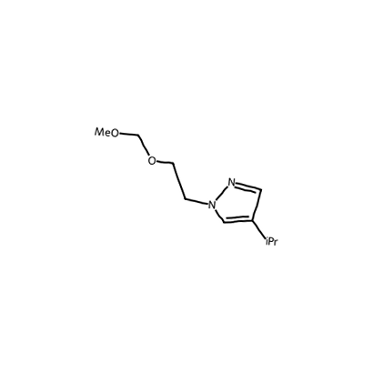 COCOCCn1cc(C(C)C)cn1